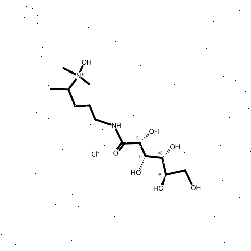 CC(CCCNC(=O)[C@H](O)[C@@H](O)[C@H](O)[C@H](O)CO)[N+](C)(C)O.[Cl-]